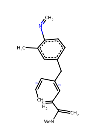 C=Nc1ccc(CC(/C=C\C)=C/C(=C)C(=C)NC)cc1C